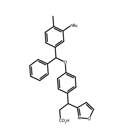 CCCCc1cc(C(Oc2ccc(C(CC(=O)O)c3ccon3)cc2)c2ccccc2)ccc1C